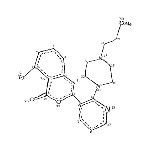 CCc1cccc2nc(-c3cccnc3N3CCN(CCOC)CC3)oc(=O)c12